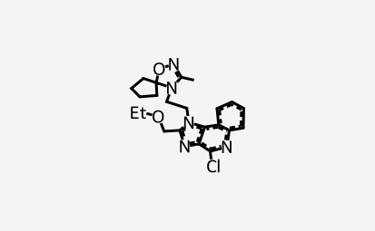 CCOCc1nc2c(Cl)nc3ccccc3c2n1CCN1C(C)=NOC12CCCC2